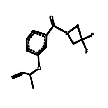 C=CC(C)Oc1cccc(C(=O)N2CC(F)(F)C2)c1